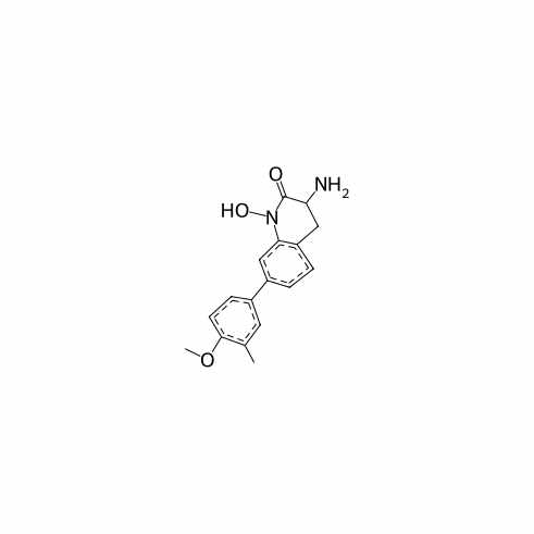 COc1ccc(-c2ccc3c(c2)N(O)C(=O)C(N)C3)cc1C